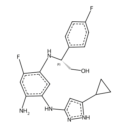 Nc1cc(F)c(N[C@@H](CO)c2ccc(F)cc2)cc1Nc1cc(C2CC2)[nH]n1